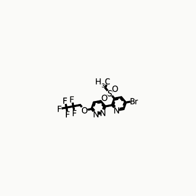 CCS(=O)(=O)c1cc(Br)cnc1-c1ccc(OCC(F)(F)C(F)(F)F)nn1